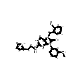 COc1cccc(-n2c(=O)n(Cc3ccccc3F)c3cnc(NCCc4cccs4)nc32)c1